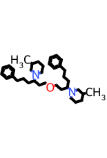 CC1CCCN(C(CCCc2ccccc2)CCOCCC(CCCc2ccccc2)N2CCCC(C)C2)C1